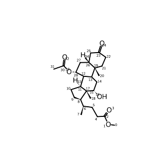 COC(=O)CC[C@@H](C)[C@H]1CC[C@H]2C3C(C[C@H](O)[C@]12C)[C@@]1(C)CCC(=O)C[C@H]1C[C@H]3OC(C)=O